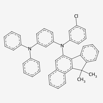 CC1(C)c2ccccc2-c2c(N(c3cccc(Cl)c3)c3cccc(N(c4ccccc4)c4ccccc4)c3)cc3ccccc3c21